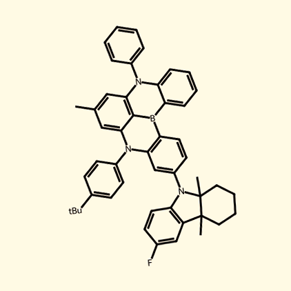 Cc1cc2c3c(c1)N(c1ccc(C(C)(C)C)cc1)c1cc(N4c5ccc(F)cc5C5(C)CCCCC45C)ccc1B3c1ccccc1N2c1ccccc1